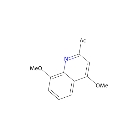 COc1cc(C(C)=O)nc2c(OC)cccc12